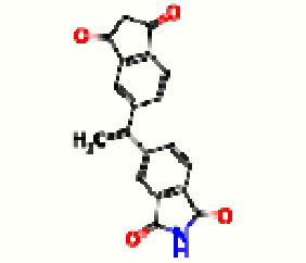 C=C(c1ccc2c(c1)C(=O)CC2=O)c1ccc2c(c1)C(=O)NC2=O